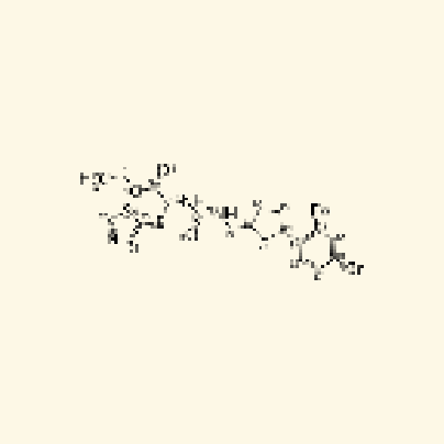 CCOC(=O)C(NC(=O)NCC1CCC(c2ccc(Br)cc2F)C1)Sc1cncs1